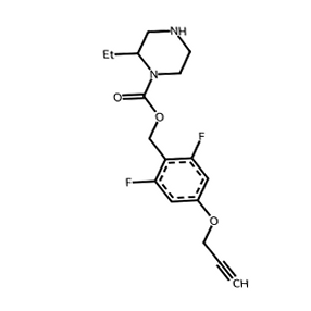 C#CCOc1cc(F)c(COC(=O)N2CCNCC2CC)c(F)c1